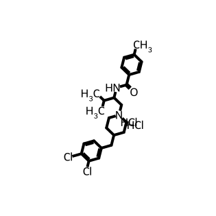 Cc1ccc(C(=O)NC(CN2CCC(Cc3ccc(Cl)c(Cl)c3)CC2)C(C)C)cc1.Cl.Cl